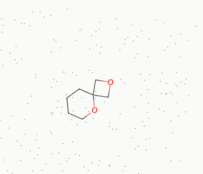 C1CCC2(COC2)OC1